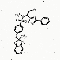 CC(C)CC(c1nc(-c2ccccc2)no1)N(C)S(=O)(=O)c1ccc(CC2(C)N=c3ccncc3=N2)cc1